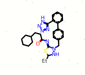 CCC1NN(Cc2ccc(-c3ccccc3-c3nnn[nH]3)cc2)C(=NC(=O)CCC2CCCCC2)S1